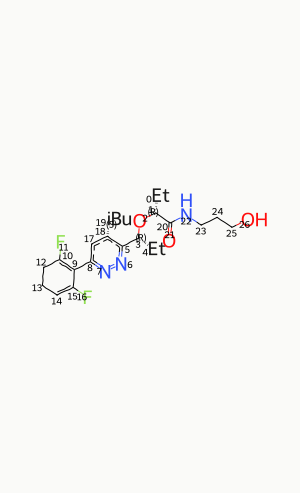 CC[C@@H](O[C@H](CC)c1nnc(C2=C(F)CCC=C2F)cc1[C@@H](C)CC)C(=O)NCCCO